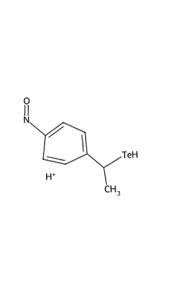 CC([TeH])c1ccc(N=O)cc1.[H+]